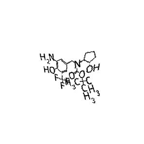 CC(C)(C)OC(=O)N(Cc1cc(N)c(O)c(C(F)(F)F)c1)[C@H]1CCC[C@@H]1O